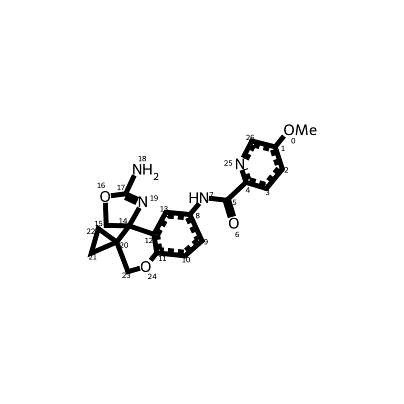 COc1ccc(C(=O)Nc2ccc3c(c2)C2(COC(N)=N2)C2(CC2)CO3)nc1